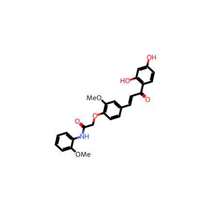 COc1ccccc1NC(=O)COc1ccc(/C=C/C(=O)c2ccc(O)cc2O)cc1OC